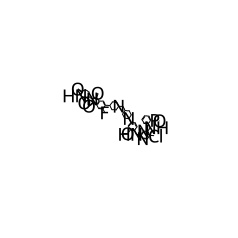 COc1cc(N2CCC(CN3CCC(c4cc5c(cc4F)C(=O)N(C4CCC(=O)NC4=O)C5=O)CC3)CC2)ccc1Nc1ncc(Cl)c(Nc2ccccc2P(C)(C)=O)n1